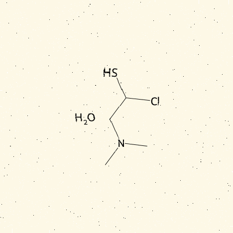 CN(C)CC(S)Cl.O